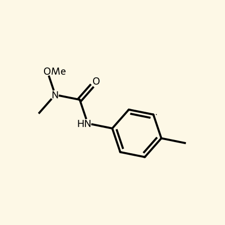 CON(C)C(=O)Nc1c[c]c(C)cc1